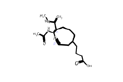 C=C(NC)/C1=C(NC(C)=O)/N=C\CC(CCCC(=O)O)CCC1